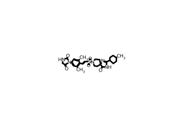 Cc1cc(N2C(=O)CNC2=O)cc(C)c1C=CS(=O)(=O)N1CCC2(CC1)N=C(C1CCC(C)CC1)NC2=O